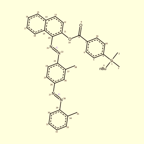 CCCC[Si](C)(C)c1ccc(C(=O)Oc2ccc3ccccc3c2/N=N/c2ccc(/N=N/c3ccccc3C)cc2C)cc1